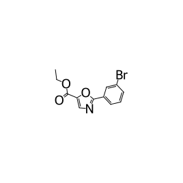 CCOC(=O)c1cnc(-c2cccc(Br)c2)o1